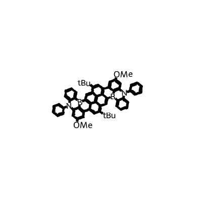 COc1cc2c3c(c1)N(c1ccccc1)c1ccccc1B3c1cc3c(C(C)(C)C)cc4c5c(cc6c(C(C)(C)C)cc-2c1c6c35)B1c2ccccc2N(c2ccccc2)c2cc(OC)cc-4c21